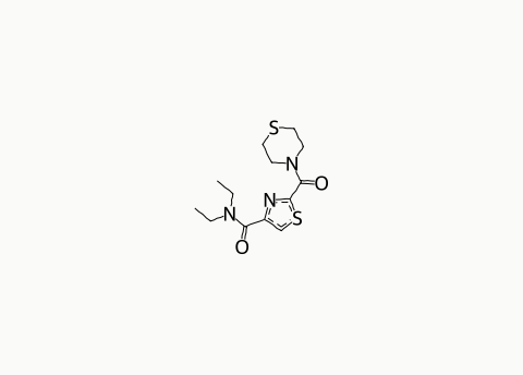 CCN(CC)C(=O)c1csc(C(=O)N2CCSCC2)n1